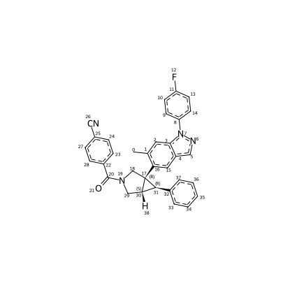 Cc1cc2c(cnn2-c2ccc(F)cc2)cc1[C@]12CN(C(=O)c3ccc(C#N)cc3)C[C@H]1[C@@H]2c1ccccc1